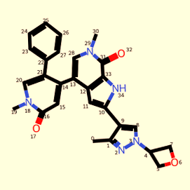 Cc1nn(C2COC2)cc1-c1cc2c(-c3cc(=O)n(C)cc3-c3ccccc3)cn(C)c(=O)c2[nH]1